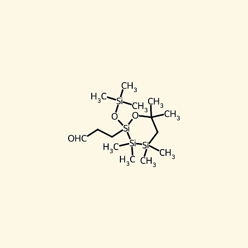 CC1(C)C[Si](C)(C)[Si](C)(C)[Si](CCC=O)(O[Si](C)(C)C)O1